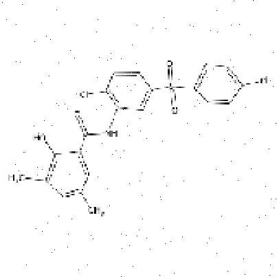 Cc1cc(C)c(O)c(C(=O)Nc2cc(S(=O)(=O)c3ccc(Cl)cc3)ccc2Cl)c1